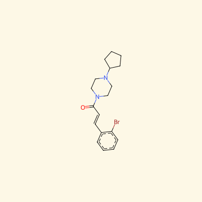 O=C(/C=C/c1ccccc1Br)N1CCN(C2CCCC2)CC1